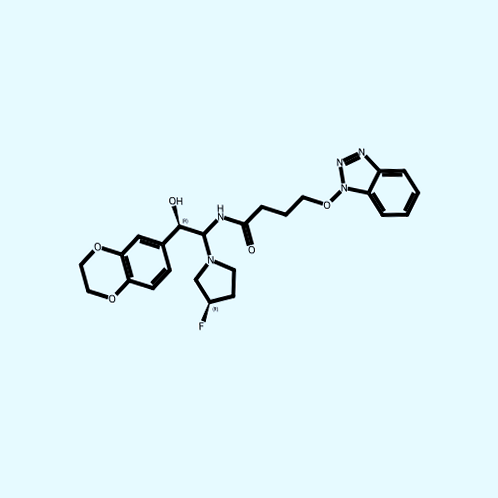 O=C(CCCOn1nnc2ccccc21)NC([C@H](O)c1ccc2c(c1)OCCO2)N1CC[C@@H](F)C1